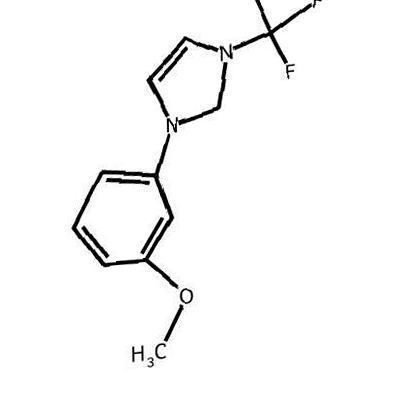 COc1cccc(N2C=CN(C(F)(F)F)C2)c1